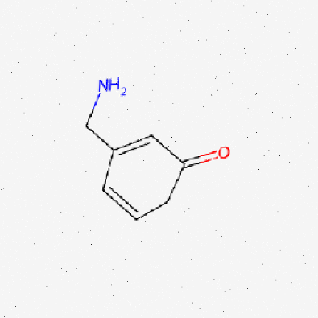 NCC1=CC(=O)CC=C1